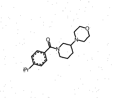 CC(C)c1ccc(C(=O)N2CCCC(N3CCOCC3)C2)cc1